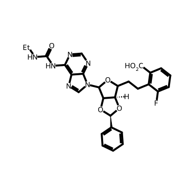 CCNC(=O)Nc1ncnc2c1ncn2C1OC(CCc2c(F)cccc2C(=O)O)[C@H]2O[C@@H](c3ccccc3)OC12